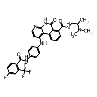 CC(CNC(=O)c1cccc2c1c(=O)[nH]c1nccc(Nc3ccc(NC(=O)c4ccc(F)cc4C(F)(F)F)cc3)c12)N(C)C